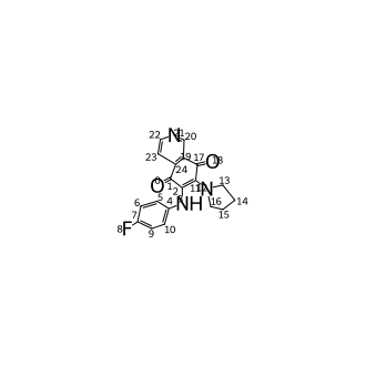 O=C1C(Nc2ccc(F)cc2)=C(N2CCCC2)C(=O)c2cnccc21